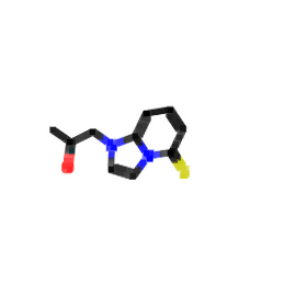 CC(=O)Cn1ccn2c(=S)cccc12